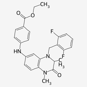 CCOC(=O)c1ccc(Nc2ccc3c(c2)N(Cc2c(F)cccc2F)C(C)C(=O)N3C)cc1